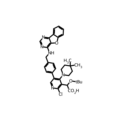 CC1(C)CCN(c2c(-c3ccc(CNc4ncnc5c4oc4ccccc45)cc3)cnc(Cl)c2C(OC(C)(C)C)C(=O)O)CC1